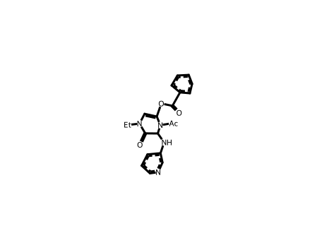 CCN1C=C(OC(=O)c2ccccc2)N(C(C)=O)C(Nc2cccnc2)C1=O